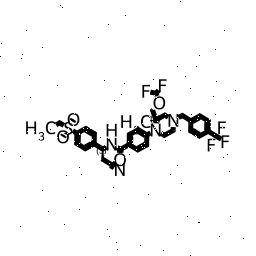 CCS(=O)(=O)c1ccc([C@H](CC#N)NC(=O)c2ccc(N3CCN(Cc4ccc(C(F)(F)F)cc4)C[C@]3(C)COC(F)F)cc2)cc1